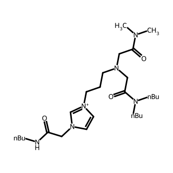 CCCCNC(=O)Cn1cc[n+](CCCN(CC(=O)N(C)C)CC(=O)N(CCCC)CCCC)c1